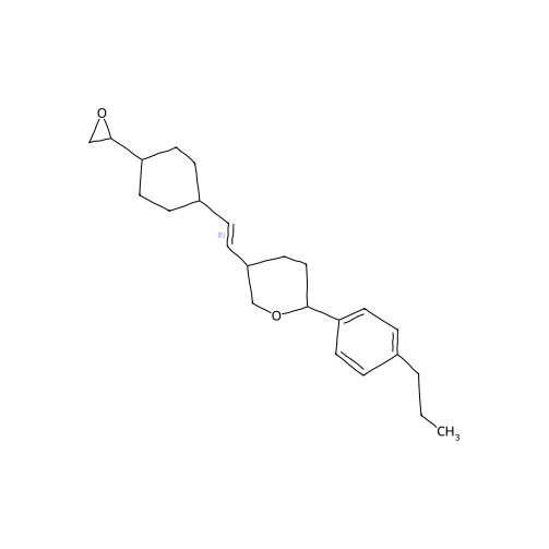 CCCc1ccc(C2CCC(/C=C/C3CCC(C4CO4)CC3)CO2)cc1